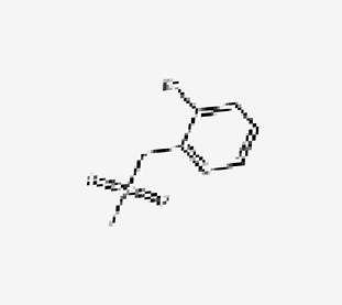 CCc1ccccc1CS(C)(=O)=O